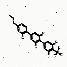 CCCc1ccc(-c2cc(F)c(-c3cc(F)c(C(F)(F)F)c(F)c3)c(F)c2)c(F)c1